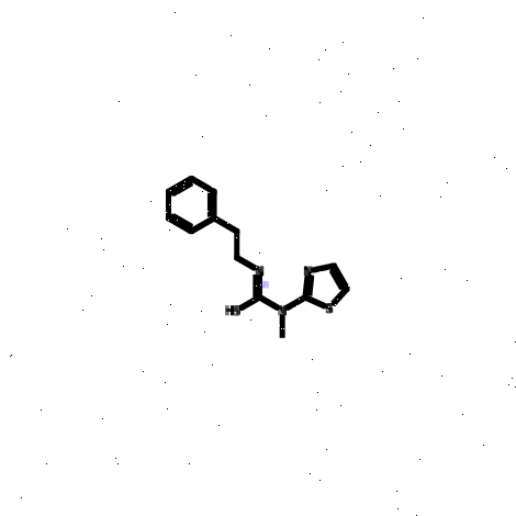 CN(/C(S)=N/CCc1ccccc1)c1nccs1